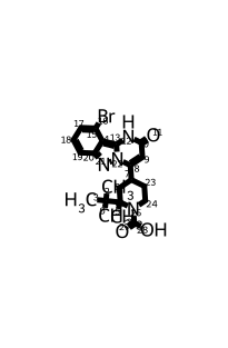 CC(C)(C)C1(C)CC(c2cc(=O)[nH]c3c4c(Br)cccc4nn23)CCN1C(=O)O